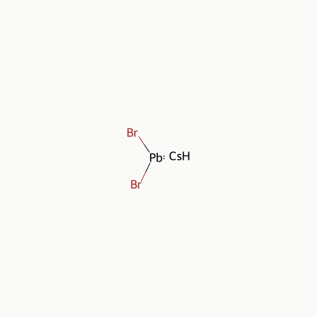 [Br][Pb][Br].[CsH]